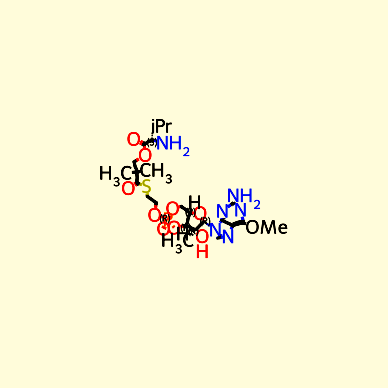 COc1nc(N)nc2c1ncn2[C@@H]1O[C@@H]2CO[P@](=O)(OCCSC(=O)C(C)(C)COC(=O)[C@@H](N)C(C)C)O[C@H]2[C@@]1(C)O